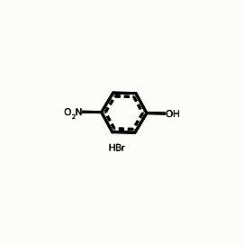 Br.O=[N+]([O-])c1ccc(O)cc1